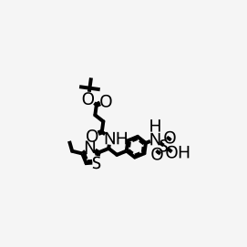 CCc1csc(C(Cc2ccc(NS(=O)(=O)O)cc2)NC(=O)CCC(=O)OC(C)(C)C)n1